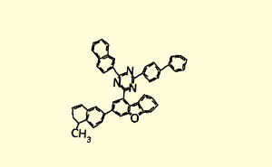 CC1CC=Cc2cc(-c3cc(-c4nc(-c5ccc(-c6ccccc6)cc5)nc(-c5ccc6ccccc6c5)n4)c4c(c3)oc3ccccc34)ccc21